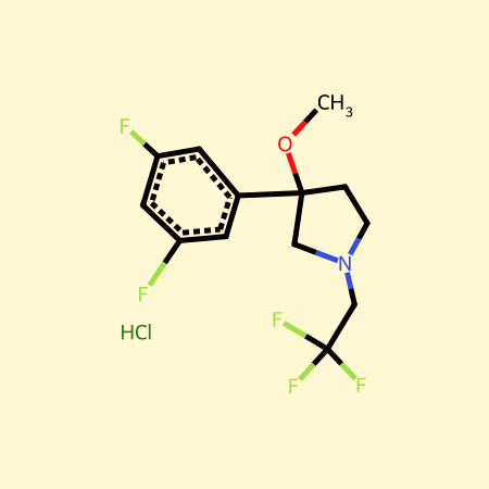 COC1(c2cc(F)cc(F)c2)CCN(CC(F)(F)F)C1.Cl